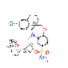 C=C[C@H](O[Si](C)(C)C(C)(C)C)[C@@H]1CC[C@H]1CN1C[C@@]2(CCCc3cc(Cl)ccc32)COc2ccc(S(N)(=O)=O)cc21